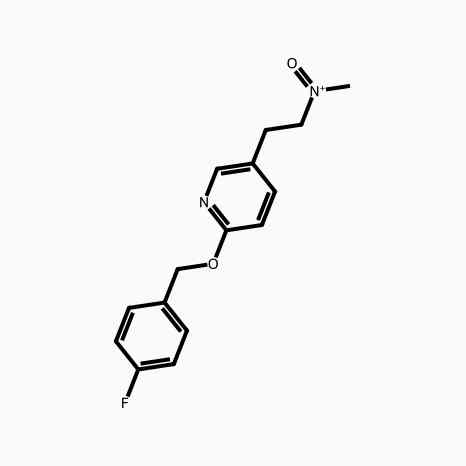 C[N+](=O)CCc1ccc(OCc2ccc(F)cc2)nc1